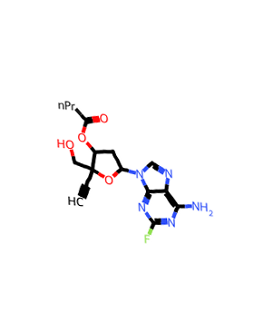 C#CC1(CO)OC(n2cnc3c(N)nc(F)nc32)CC1OC(=O)CCC